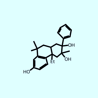 CCC12CC(C)(O)C(O)(c3ccccc3)CC1CC(C)(C)c1cc(O)ccc12